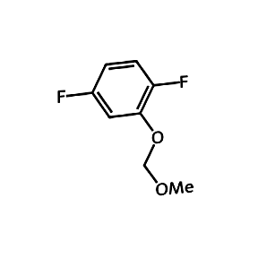 COCOc1cc(F)ccc1F